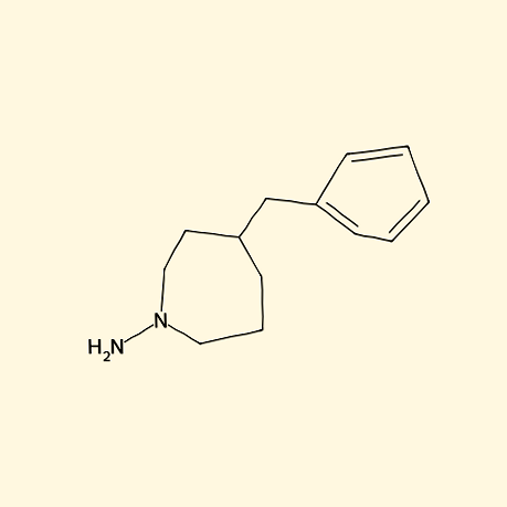 NN1CCCC(Cc2ccccc2)CC1